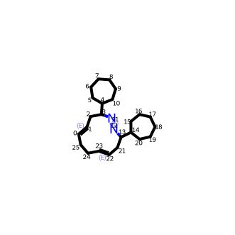 C1=C/CC(C2CCCCCC2)/N=N/C(C2CCCCCC2)C/C=C/CC/1